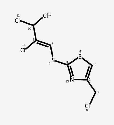 ClCc1csc(SC=C(Cl)C(Cl)Cl)n1